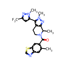 Cc1cc2ncsc2cc1C(=O)N1CCc2c(nn(C)c2-c2cc(C(F)(F)F)nn2C)C1C